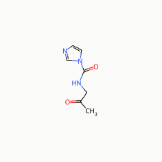 CC(=O)CNC(=O)n1ccnc1